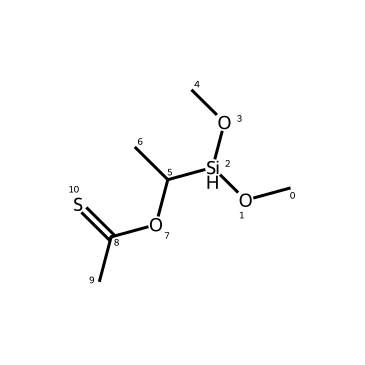 CO[SiH](OC)C(C)OC(C)=S